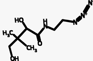 CC(C)(CO)C(O)C(=O)NCCN=[N+]=[N-]